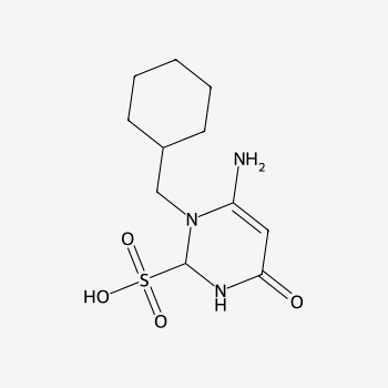 NC1=CC(=O)NC(S(=O)(=O)O)N1CC1CCCCC1